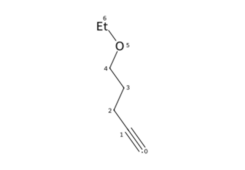 [C]#CCCCOCC